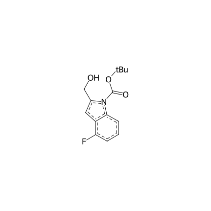 CC(C)(C)OC(=O)n1c(CO)cc2c(F)cccc21